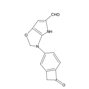 O=Cc1cc2c([nH]1)N(c1ccc3c(c1)CC3=O)CO2